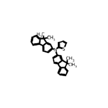 CC1(C)c2ccccc2-c2ccc(N(c3ccc4c(c3)C(C)(C)c3ccccc3-4)c3cccs3)cc21